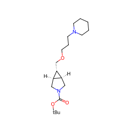 CC(C)(C)OC(=O)N1C[C@@H]2[C@@H](COCCCN3CCCCC3)[C@@H]2C1